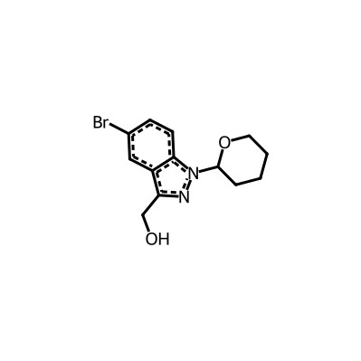 OCc1nn(C2CCCCO2)c2ccc(Br)cc12